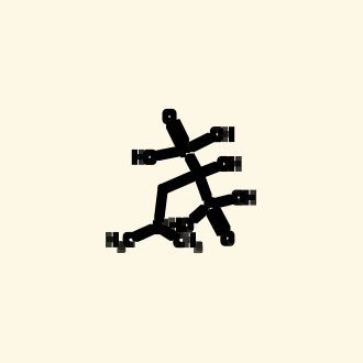 C[S+](C)CC(O)(P(=O)(O)O)P(=O)(O)O